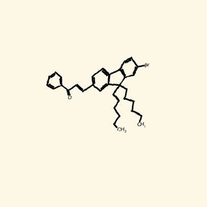 CCCCCCC1(CCCCCC)c2cc(Br)ccc2-c2ccc(C=CC(=O)c3ccccc3)cc21